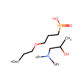 CCCCCCCCCCCCOCCC[PH](=O)O.CCCN(CCC)CC(C)O